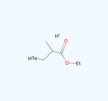 CCOC(=O)C(C)C[TeH].[H+]